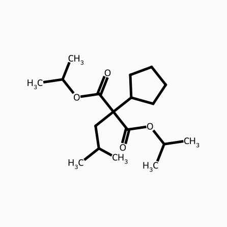 CC(C)CC(C(=O)OC(C)C)(C(=O)OC(C)C)C1CCCC1